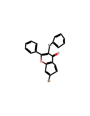 O=c1c([Se]c2ccccc2)c(-c2ccccc2)oc2cc(Br)ccc12